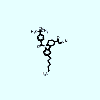 CCCCCCc1ccc2c(c1)c1c(n2C(=O)c2ccc(C(C)(C)C)cc2)CCC(C(=O)C=[N+]=[N-])C1